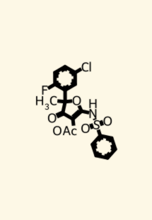 CC(=O)OC1=C(NS(=O)(=O)c2ccccc2)OC(C)(c2cc(Cl)ccc2F)C1=O